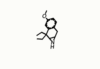 CCC1(CC)c2cc(OC)ccc2CC2NC21